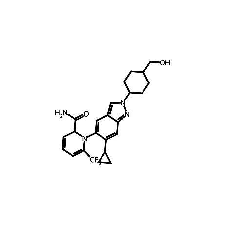 NC(=O)C1C=CC=C(C(F)(F)F)N1c1cc2cn(C3CCC(CO)CC3)nc2cc1C1CC1